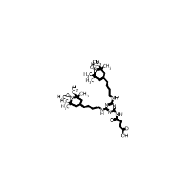 CON1C(C)(C)CC(CCCCNc2nc(NCCCCC3CC(C)(C)N(OC)C(C)(C)C3)nc(NC(=O)CCC(=O)O)n2)CC1(C)C